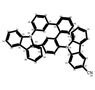 N#CC1=C(c2cc(C#N)ccc2-n2c3ccccc3c3cc(C#N)ccc32)C(c2cccc(-n3c4ccccc4c4ccccc43)c2)=C=C=C1